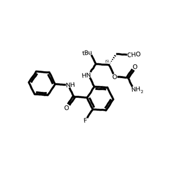 CC(C)(C)C(Nc1cccc(F)c1C(=O)Nc1ccccc1)[C@H](CC=O)OC(N)=O